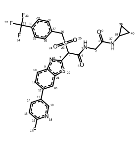 O=C(CNC(=O)C(c1nc2ccc(-c3ccc(F)nc3)cc2s1)S(=O)(=O)Cc1ccc(C(F)(F)F)cc1)NC1CC1